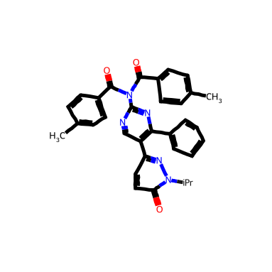 Cc1ccc(C(=O)N(C(=O)c2ccc(C)cc2)c2ncc(-c3ccc(=O)n(C(C)C)n3)c(-c3ccccc3)n2)cc1